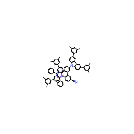 Cc1cc(C)cc(-c2ccc3c(c2)c2cc(-c4cc(C)cc(C)c4)ccc2n3-c2ccc(-c3nc(-c4ccccc4)nc(-c4ccccc4)n3)c(-c3cc(C#N)ccc3-n3c4ccc(-c5cc(C)cc(C)c5)cc4c4cc(-c5cc(C)cc(C)c5)ccc43)c2)c1